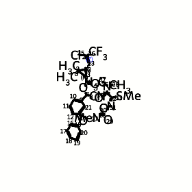 CC1(C)[C@H](C(=O)OC(C#N)c2cccc(Oc3ccccc3)c2)[C@@H]1/C=C(\Cl)C(F)(F)F.CNC(=O)ON=C(SC)C(=O)N(C)C